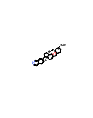 CO[C@H]1CCC2=CC3=CCC4(C)C(c5ccc6ccncc6c5)CC[C@H]4[C@@]34CC[C@]2(C1)O4